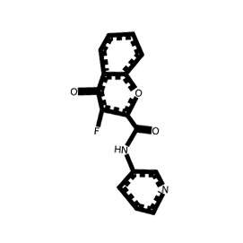 O=C(Nc1cccnc1)c1oc2ccccc2c(=O)c1F